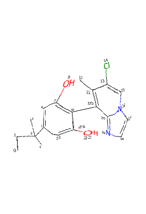 CCC(C)(C)c1cc(O)c(-c2c(C)c(Cl)cn3ccnc23)c(O)c1